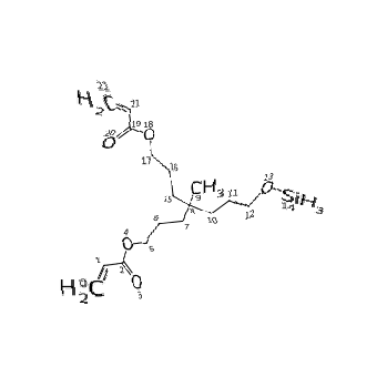 C=CC(=O)OCCCC(C)(CCCO[SiH3])CCCOC(=O)C=C